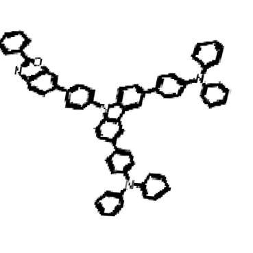 c1ccc(-c2nc3ccc(-c4ccc(-n5c6ccc(-c7ccc(N(c8ccccc8)c8ccccc8)cc7)cc6c6cc(-c7ccc(N(c8ccccc8)c8ccccc8)cc7)ccc65)cc4)cc3o2)cc1